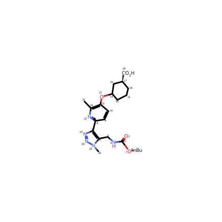 CCCCOC(=O)NCc1c(-c2ccc(OC3CCC[C@H](C(=O)O)C3)c(C)n2)nnn1C